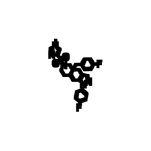 Cn1cnc(S(=O)(=O)N2CCC3=Cc4c(cnn4-c4ccc(F)cc4)CC3(Cc3ccc(F)cc3)C2)c1